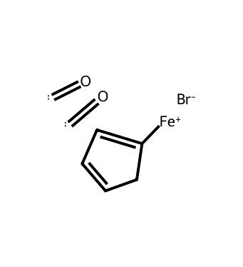 [Br-].[C]=O.[C]=O.[Fe+][C]1=CC=CC1